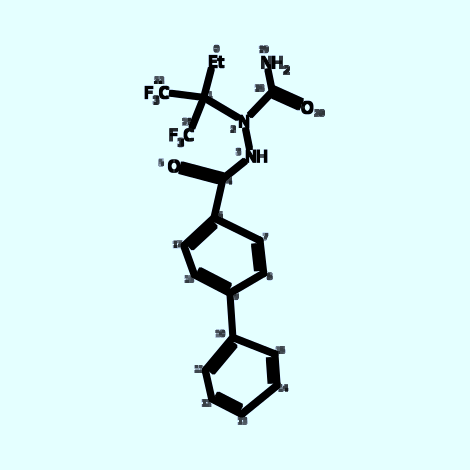 CCC(N(NC(=O)c1ccc(-c2ccccc2)cc1)C(N)=O)(C(F)(F)F)C(F)(F)F